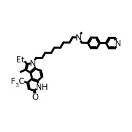 CCc1c(C)c2c3c(C(F)(F)F)cc(=O)[nH]c3ccc2n1CCCCCCCCCN(C)Cc1ccc(-c2ccncc2)cc1